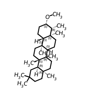 CO[C@H]1CC[C@@H]2[C@](C)(CC[C@H]3[C@@]2(C)CC[C@@]2(C)[C@@H]4CC(C)(C)CC[C@]4(C)CC[C@]32C)[C@H]1C